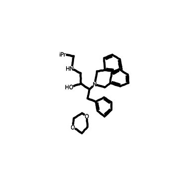 C1COCCO1.CC(C)CNCC(O)C(Cc1ccccc1)N(Cc1ccccc1)Cc1ccccc1